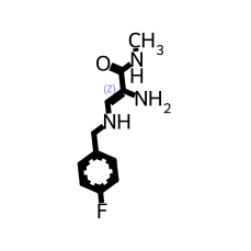 CNC(=O)/C(N)=C/NCc1ccc(F)cc1